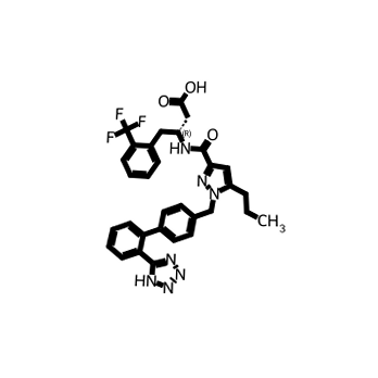 CCCc1cc(C(=O)N[C@@H](CC(=O)O)Cc2ccccc2C(F)(F)F)nn1Cc1ccc(-c2ccccc2-c2nnn[nH]2)cc1